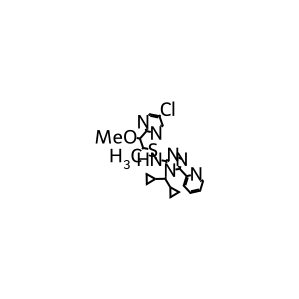 COC(c1ncc(Cl)cn1)C(C)SNc1nnc(-c2ccccn2)n1C(C1CC1)C1CC1